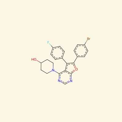 OC1CCN(c2ncnc3oc(-c4ccc(Br)cc4)c(-c4ccc(F)cc4)c23)CC1